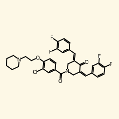 O=C1/C(=C\c2ccc(F)c(F)c2)CN(C(=O)c2ccc(OCCN3CCCCC3)c(Cl)c2)C/C1=C\c1ccc(F)c(F)c1